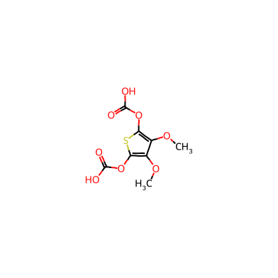 COc1c(OC(=O)O)sc(OC(=O)O)c1OC